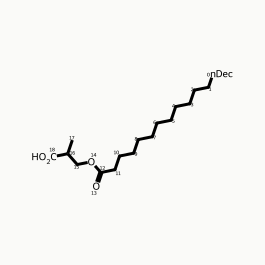 CCCCCCCCCCCCCCCCCCCCCC(=O)OCC(C)C(=O)O